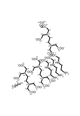 NCCNCC(=O)[O-].NCCNCC(=O)[O-].NCCNCC(=O)[O-].O=C([O-])CN(CCN(CC(=O)[O-])CC(=O)[O-])CC(=O)[O-].O=C([O-])CN(CCN(CC(=O)[O-])CC(=O)[O-])CC(=O)[O-].O=C([O-])CN(CCN(CC(=O)[O-])CC(=O)[O-])CC(=O)[O-].[Gd+3].[Gd+3].[Gd+3].[Gd+3].[Gd+3]